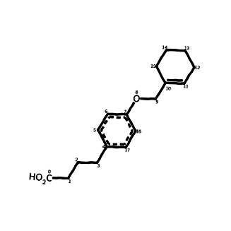 O=C(O)CCCc1ccc(OCC2=CCCCC2)cc1